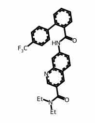 CCN(CC)C(=O)c1cnc2cc(NC(=O)c3ccccc3-c3ccc(C(F)(F)F)cc3)ccc2c1